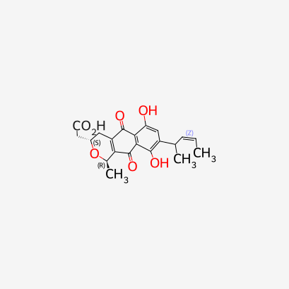 C/C=C\C(C)c1cc(O)c2c(c1O)C(=O)C1=C(C[C@@H](CC(=O)O)O[C@@H]1C)C2=O